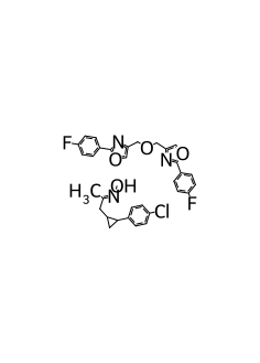 CC(CC1CC1c1ccc(Cl)cc1)=NO.Fc1ccc(-c2nc(COCc3coc(-c4ccc(F)cc4)n3)co2)cc1